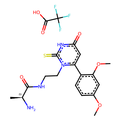 COc1ccc(-c2cc(=O)[nH]c(=S)n2CCNC(=O)[C@H](C)N)c(OC)c1.O=C(O)C(F)(F)F